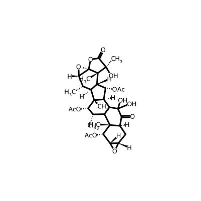 CC(=O)O[C@H]1[C@@H]2[C@H]([C@H](C)[C@@H]3O[C@@]34OC(=O)[C@@](C)(O)[C@]24C)[C@]2(C)[C@@H]1C1C([C@H](C)[C@@H]2OC(C)=O)[C@]2(C)[C@H](C[C@@H]3O[C@@H]3[C@@H]2OC(C)=O)C(=O)C1(O)O